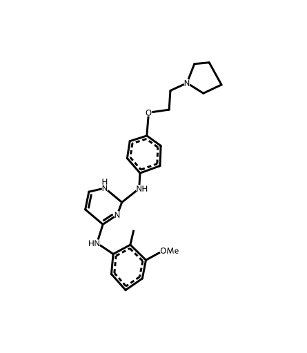 COc1cccc(NC2=NC(Nc3ccc(OCCN4CCCC4)cc3)NC=C2)c1C